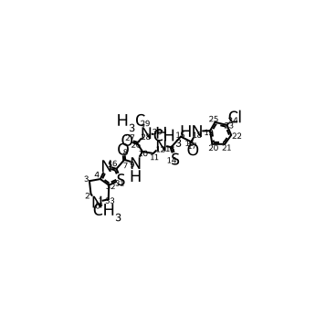 CN1CCc2nc(C(=O)NC(CNC(=S)CC(=O)Nc3cccc(Cl)c3)C(=O)N(C)C)sc2C1